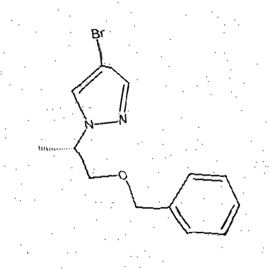 C[C@@H](COCc1ccccc1)n1cc(Br)cn1